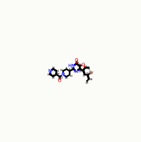 C=c1oc2c(=O)[nH]c(C3CCN(C(=O)c4ccncc4)CC3)nc2/c1=C/C(Br)=C\C